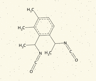 Cc1ccc(C(C)N=C=O)c(C(C)N=C=O)c1C